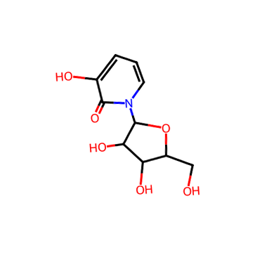 O=c1c(O)cccn1C1OC(CO)C(O)C1O